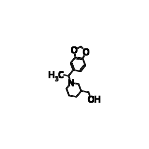 CC(c1ccc2c(c1)OCO2)N1CCCC(CO)C1